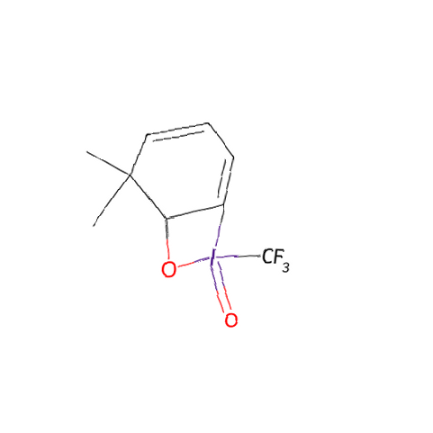 CC1(C)C=CC=C2C1OI2(=O)C(F)(F)F